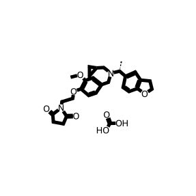 COc1cc(CN(CC2CC2)[C@H](C)c2ccc3c(c2)CCO3)ccc1OCCN1C(=O)CCC1=O.O=C(O)O